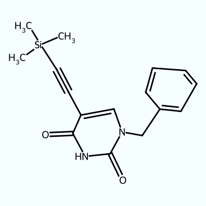 C[Si](C)(C)C#Cc1cn(Cc2ccccc2)c(=O)[nH]c1=O